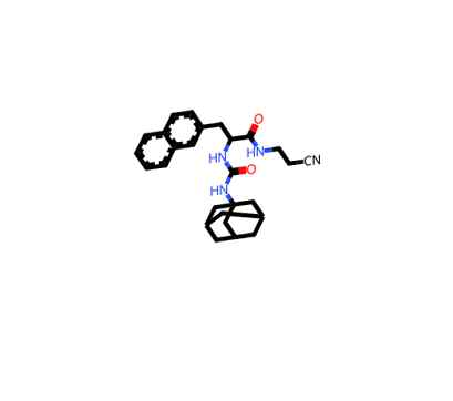 N#CCCNC(=O)C(Cc1ccc2ccccc2c1)NC(=O)NC12CC3CC(CC(C3)C1)C2